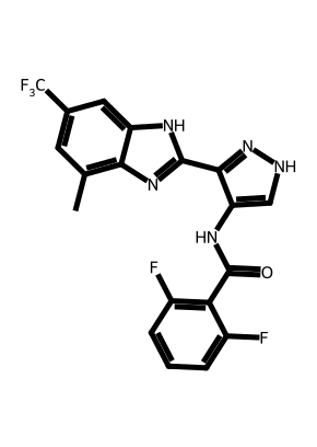 Cc1cc(C(F)(F)F)cc2[nH]c(-c3n[nH]cc3NC(=O)c3c(F)cccc3F)nc12